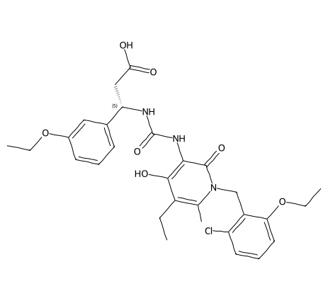 CCOc1cccc([C@H](CC(=O)O)NC(=O)Nc2c(O)c(CC)c(C)n(Cc3c(Cl)cccc3OCC)c2=O)c1